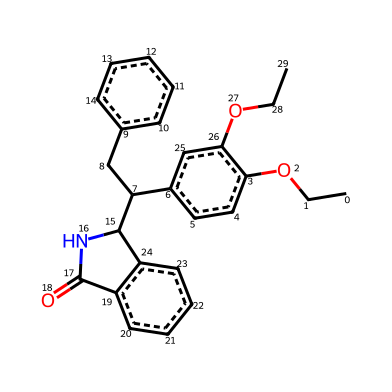 CCOc1ccc(C(Cc2ccccc2)C2NC(=O)c3ccccc32)cc1OCC